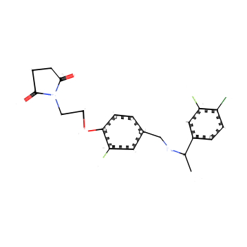 CC(NCc1ccc(OCCN2C(=O)CCC2=O)c(F)c1)c1ccc(Cl)c(F)c1